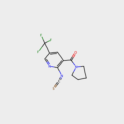 O=C(c1cc(C(F)(F)F)cnc1N=C=S)N1CCCC1